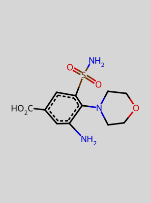 Nc1cc(C(=O)O)cc(S(N)(=O)=O)c1N1CCOCC1